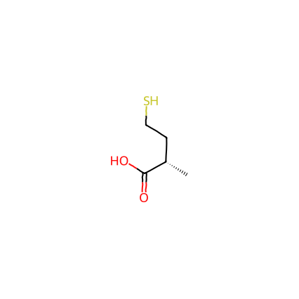 C[C@@H](CCS)C(=O)O